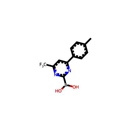 Cc1ccc(-c2cc(C(F)(F)F)nc(B(O)O)n2)cc1